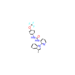 Cc1cn(-c2ncccc2NC(=O)Nc2ccc(OC(F)(F)F)cc2)c2ccccc12